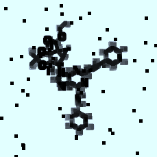 CCOC(=O)C12CC1[C@@H](n1cnc3c(C#Cc4ccccc4)nc(C#Cc4ccccc4)nc31)[C@@H]1OC(C)(C)O[C@@H]12